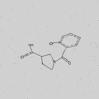 O=C(O)C1CCN(C(=O)c2cccc[n+]2[O-])C1